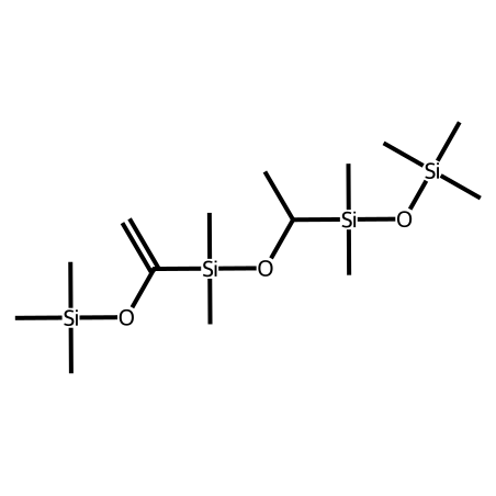 C=C(O[Si](C)(C)C)[Si](C)(C)OC(C)[Si](C)(C)O[Si](C)(C)C